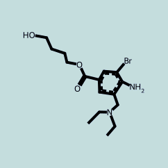 CCN(CC)Cc1cc(C(=O)OCCCCO)cc(Br)c1N